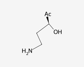 CC(=O)[C@@H](O)CCN